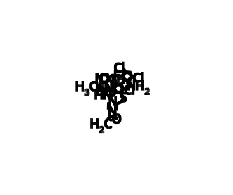 C=CC(=O)N1CCN2C(=N)c3c(Nc4c(C)ccnc4C(C)O)c(F)c(-c4c(N)c(Cl)cc(Cl)c4F)c(Cl)c3SCC2C1